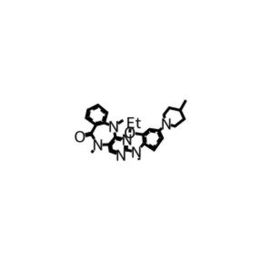 CCOc1cc(N2CCC(C)CC2)ccc1N(C)c1ncc2c(n1)N(C)c1ccccc1C(=O)N2C